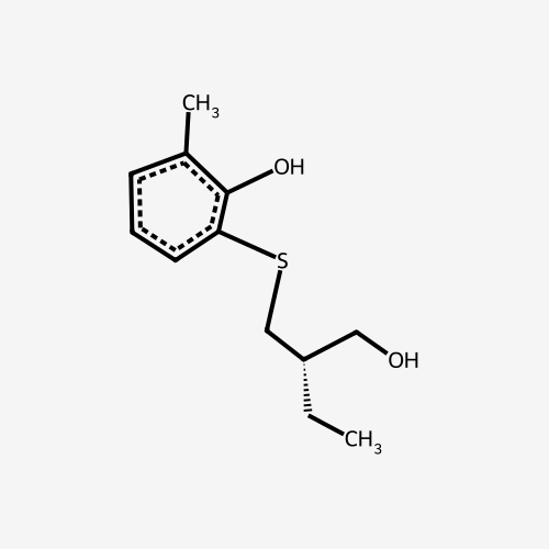 CC[C@@H](CO)CSc1cccc(C)c1O